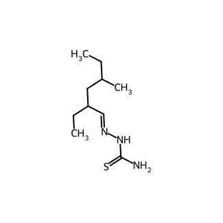 CCC(C)CC(C=NNC(N)=S)CC